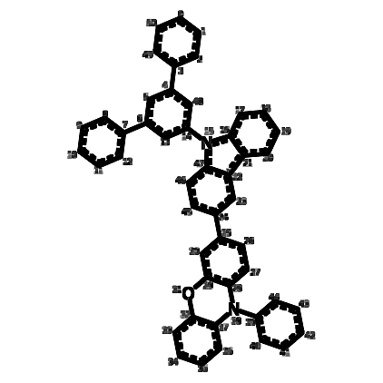 c1ccc(-c2cc(-c3ccccc3)cc(-n3c4ccccc4c4cc(-c5ccc6c(c5)Oc5ccccc5N6c5ccccc5)ccc43)c2)cc1